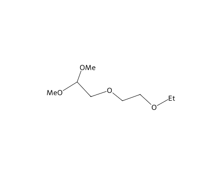 CCOCCOCC(OC)OC